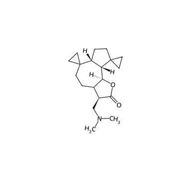 CN(C)C[C@@H]1C(=O)O[C@H]2C1CCC1(CC1)[C@@H]1CCC3(CC3)[C@@H]12